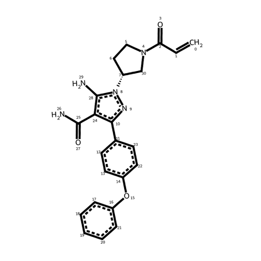 C=CC(=O)N1CC[C@@H](n2nc(-c3ccc(Oc4ccccc4)cc3)c(C(N)=O)c2N)C1